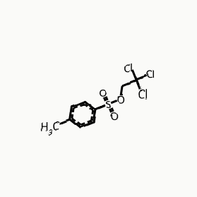 Cc1ccc(S(=O)(=O)OCC(Cl)(Cl)Cl)cc1